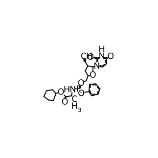 C#CC1CC(COP(NC(C)C(=O)OC2CCCCC2)Oc2ccccc2)OC1n1ccc(=O)[nH]c1=O